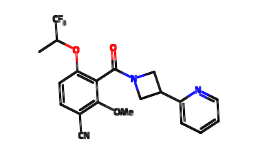 COc1c(C#N)ccc(OC(C)C(F)(F)F)c1C(=O)N1CC(c2ccccn2)C1